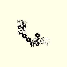 CCN(CC)[C@@H](C(=O)N1CCC[C@H]1c1ncc(-c2ccc(-c3ccc(-c4cnc([C@@H]5CCCN5C(=O)C5(NC(=O)O)CC5)[nH]4)cc3)cc2)[nH]1)c1ccccc1